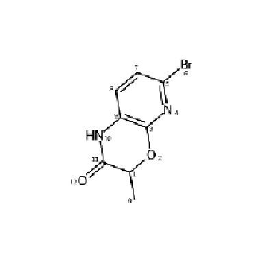 CC1Oc2nc(Br)ccc2NC1=O